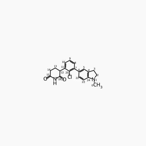 CN1CCc2cc(-c3cccc(C4CCC(=O)NC4=O)c3Cl)ccc21